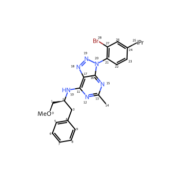 COC[C@H](Cc1ccccc1)Nc1nc(C)nc2c1nnn2-c1ccc(C(C)C)cc1Br